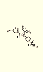 CC(C)C(=O)CNC(=O)[C@H]1[C@H](c2ccc(S(N)(=O)=O)cc2)C1(C)C